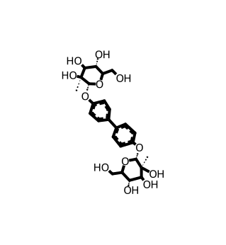 C[C@]1(O)C(O)[C@H](O)C(CO)O[C@@H]1Oc1ccc(-c2ccc(O[C@H]3OC(CO)[C@@H](O)C(O)[C@]3(C)O)cc2)cc1